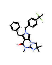 CN1C(=O)c2c(cn(Cc3ccc(C(C)(F)F)cc3)c2Cc2ccccc2)N2CC(C)(C)N=C12